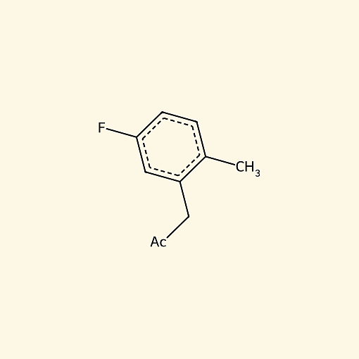 CC(=O)Cc1cc(F)ccc1C